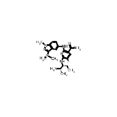 CC[C@@H](Nc1nc(Nc2ccc3c(c2)c(N(C)C)nn3C)c(C(N)=O)cc1F)[C@H](C)N